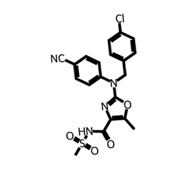 Cc1oc(N(Cc2ccc(Cl)cc2)c2ccc(C#N)cc2)nc1C(=O)NS(C)(=O)=O